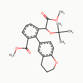 COC(=O)c1cccc(C(OC(C)(C)C)C(=O)OC)c1-c1ccc2c(c1)CCCO2